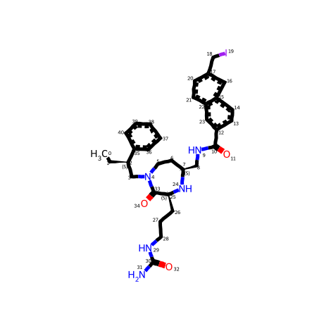 CC[C@H](CN1CC[C@@H](CNC(=O)c2ccc3cc(CI)ccc3c2)N[C@@H](CCCNC(N)=O)C1=O)c1ccccc1